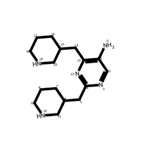 Nc1cnc(CC2CCCNC2)nc1CC1CCCNC1